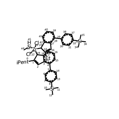 CCCC(C)C1=Cc2c(-c3ccc([Si](C)(C)C)cc3)cccc2[CH]1[Zr]([Cl])([Cl])([CH]1C(CC)=Cc2c(-c3ccc([Si](C)(C)C)cc3)cccc21)[SiH](C)C